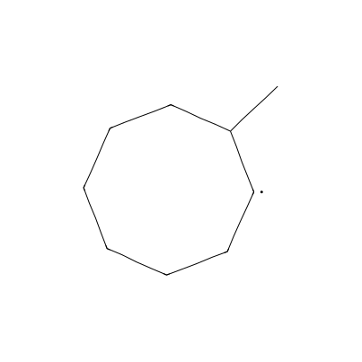 CC1[CH]CCCCCC1